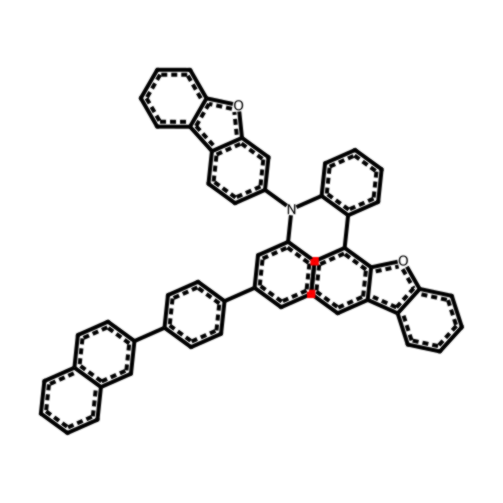 c1cc(-c2ccc(-c3ccc4ccccc4c3)cc2)cc(N(c2ccc3c(c2)oc2ccccc23)c2ccccc2-c2cccc3c2oc2ccccc23)c1